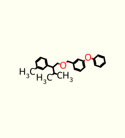 Cc1cccc(C(COCc2cccc(Oc3ccccc3)c2)C(C)C)c1